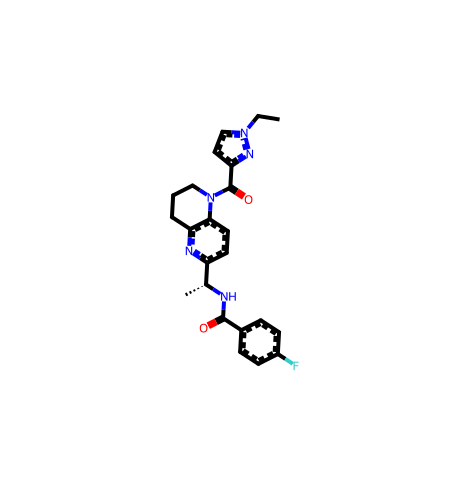 CCn1ccc(C(=O)N2CCCc3nc([C@@H](C)NC(=O)c4ccc(F)cc4)ccc32)n1